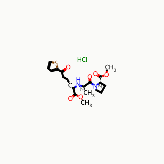 COC(=O)C(CCCC(=O)c1cccs1)N[C@@H](C)C(=O)N1CCC[C@H]1C(=O)OC.Cl